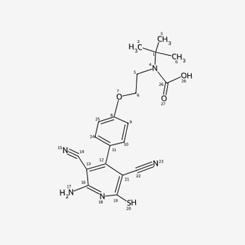 CC(C)(C)N(CCOc1ccc(-c2c(C#N)c(N)nc(S)c2C#N)cc1)C(=O)O